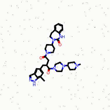 Cc1cc(CC(CC(=O)N2CCC(N3CCc4ccccc4NC3=O)CC2)C(=O)N2CCN(C3CCN(C)CC3)CC2)cc2cn[nH]c12